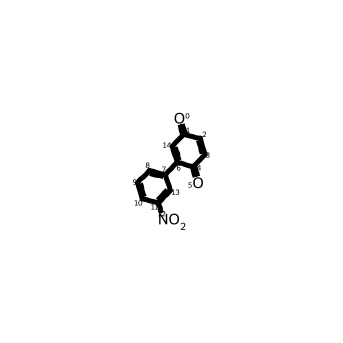 O=C1C=CC(=O)C(c2cccc([N+](=O)[O-])c2)=C1